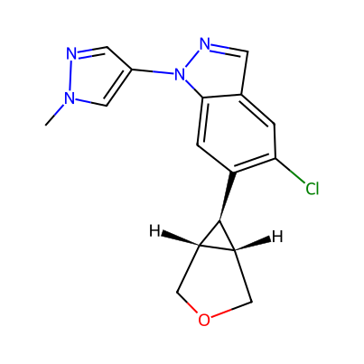 Cn1cc(-n2ncc3cc(Cl)c([C@H]4[C@@H]5COC[C@@H]54)cc32)cn1